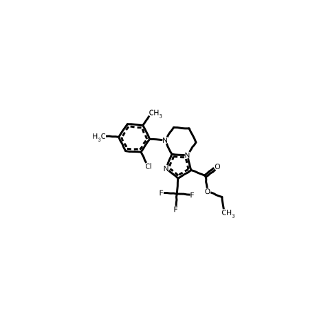 CCOC(=O)c1c(C(F)(F)F)nc2n1CCCN2c1c(C)cc(C)cc1Cl